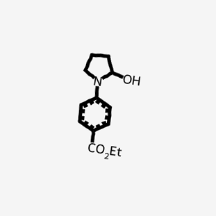 CCOC(=O)c1ccc(N2CCCC2O)cc1